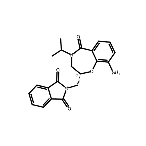 CC(C)N1C[C@@H](CN2C(=O)c3ccccc3C2=O)Oc2c(N)cccc2C1=O